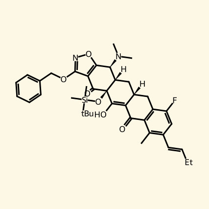 CC/C=C/c1cc(F)c2c(c1C)C(=O)C1=C(O)[C@]3(O[Si](C)(C)C(C)(C)C)C(=O)c4c(OCc5ccccc5)noc4[C@@H](N(C)C)[C@@H]3C[C@@H]1C2